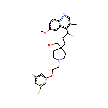 COc1ccc2ncc(C)c([C@@H](F)CCC3(CO)CCN(CCOc4cc(F)cc(F)c4)CC3)c2c1